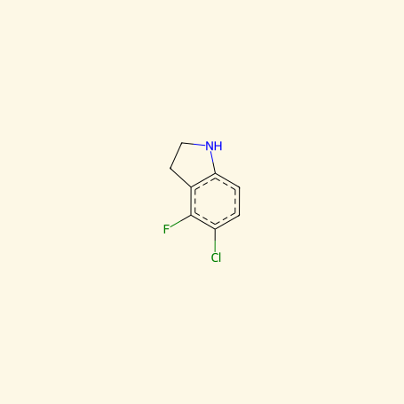 Fc1c(Cl)ccc2c1CCN2